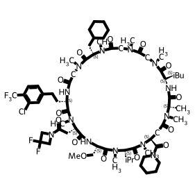 CC[C@H](C)[C@@H]1NC(=O)[C@H](C)N(C)C(=O)C[C@@H](C(=O)N2CCCCC2)N(C)C(=O)[C@H](C(C)C)N(C)C(=O)[C@H](COC)NC(=O)[C@H](CC(=O)N2CC(F)(F)C2)N(C)C(=O)[C@H](CCc2ccc(C(F)(F)F)c(Cl)c2)NC(=O)CN(C)C(=O)[C@H](CC2CCCCC2)N(C)C(=O)CN(C)C(=O)CN(C)C1=O